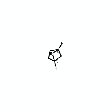 C1C[C@H]2C[C@@H]1N2